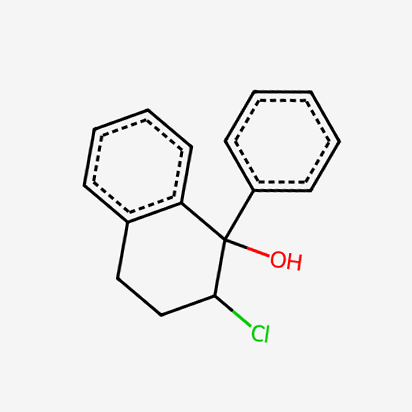 OC1(c2ccccc2)c2ccccc2CCC1Cl